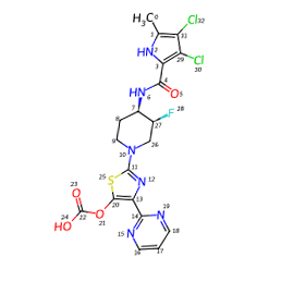 Cc1[nH]c(C(=O)N[C@@H]2CCN(c3nc(-c4ncccn4)c(OC(=O)O)s3)C[C@@H]2F)c(Cl)c1Cl